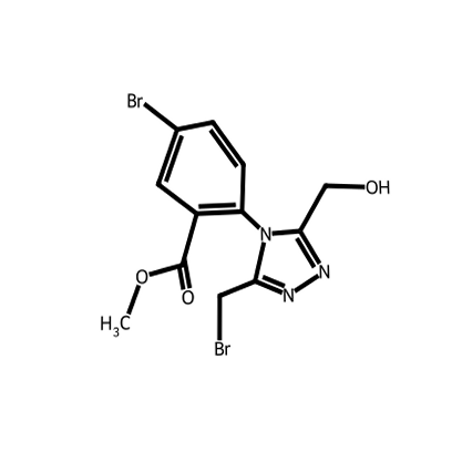 COC(=O)c1cc(Br)ccc1-n1c(CO)nnc1CBr